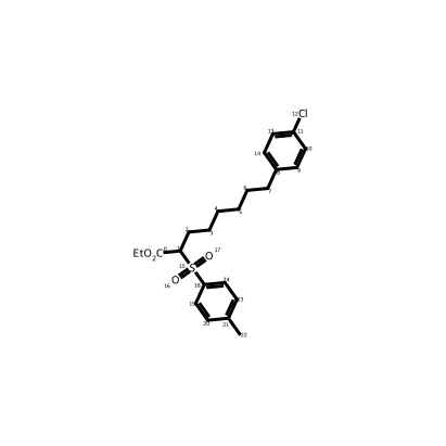 CCOC(=O)C(CCCCCCc1ccc(Cl)cc1)S(=O)(=O)c1ccc(C)cc1